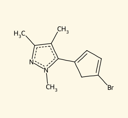 Cc1nn(C)c(C2=CC=C(Br)C2)c1C